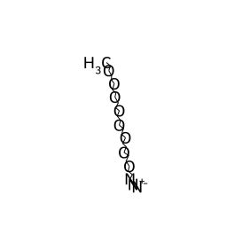 CCOCCOCCOCCOCCOCCOCCOCCOCCN=[N+]=[N-]